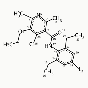 CCOc1c(C)nc(C)c(C(=O)Nc2c(CC)cc(I)cc2CC)c1Cl